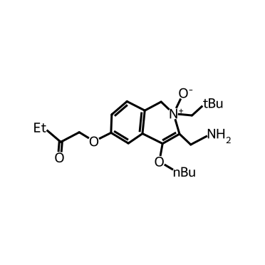 CCCCOC1=C(CN)[N+]([O-])(CC(C)(C)C)Cc2ccc(OCC(=O)CC)cc21